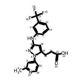 Cc1cc(-n2nc(Nc3cccc(C(F)(F)F)c3)cc2CCC(=O)O)ccn1